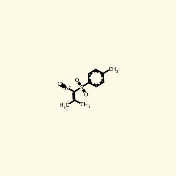 [C-]#[N+]C(=C(C)C)S(=O)(=O)c1ccc(C)cc1